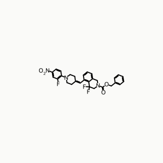 O=C(OCc1ccccc1)N1Cc2cccc(C=C3CCN(c4ccc([N+](=O)[O-])cc4F)CC3)c2C(F)(F)C1